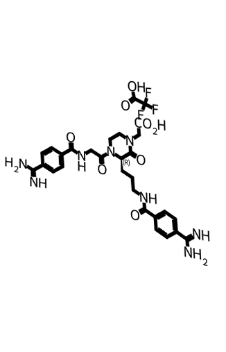 N=C(N)c1ccc(C(=O)NCCC[C@@H]2C(=O)N(CC(=O)O)CCN2C(=O)CNC(=O)c2ccc(C(=N)N)cc2)cc1.O=C(O)C(F)(F)F